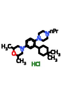 CCCN1CCN(c2ccc(N3CC(C)OC(C)C3)cc2C2CCC(C)(C)CC2)CC1.Cl